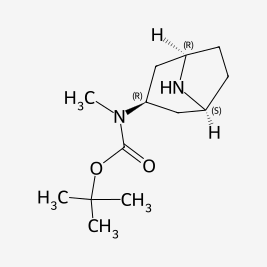 CN(C(=O)OC(C)(C)C)[C@H]1C[C@H]2CC[C@@H](C1)N2